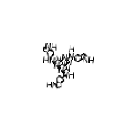 c1cc2cc(NC3=NC4=NC(Nc5ccc6[nH]ccc6c5)=NC5=NC(Nc6ccc7[nH]ccc7c6)=NC(=N3)N45)ccc2[nH]1